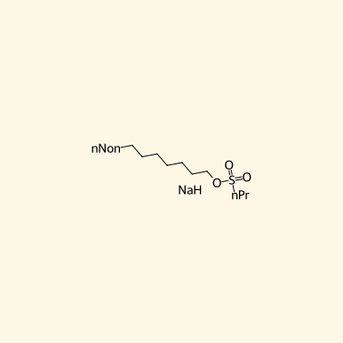 CCCCCCCCCCCCCCCCOS(=O)(=O)CCC.[NaH]